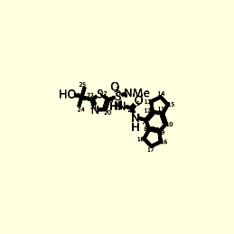 CN[SH](=O)(NC(=O)Nc1c2c(cc3c1CCC3)CCC2)c1cnc(C(C)(C)O)s1